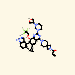 C=CC(=O)N1CC2(CCN(c3nc(N4CCCN(C5COC5)C4)nc4c(OCC(F)(F)F)c(-c5c(C)ccc6[nH]ncc56)c(C5CC5)cc34)CC2)C1